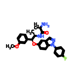 COc1cccc([C@@H](Oc2ccc3c(cnn3-c3ccc(F)cc3)c2)[C@H](C)NC(=O)[C@@H](C)N)c1